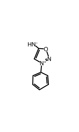 [NH-]c1c[n+](-c2ccccc2)no1